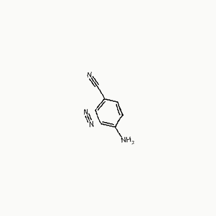 N#Cc1ccc(N)cc1.N#N